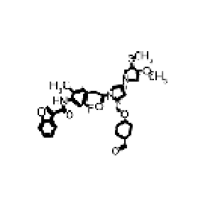 COC1CN([C@H]2C[C@@H](CO[C@H]3CC[C@H](C=O)CC3)N(C(=O)Cc3cc(C)c(NC(=O)c4coc5ccccc45)cc3F)C2)C[C@@H]1OC